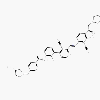 Cc1c(NC(=O)c2ccc(CN3CC[C@@H](O)C3)cn2)cccc1-c1ccnc(/C=C/c2ccc3c(CN4CCCC4)noc3c2C#N)c1C#N